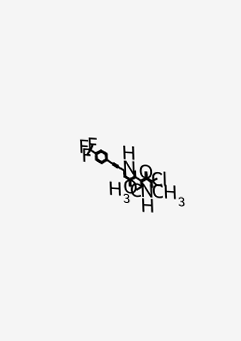 Cc1[nH]c(C)c(-c2c[nH]c(C#Cc3ccc(C(F)(F)F)cc3)cc2=O)c(=O)c1Cl